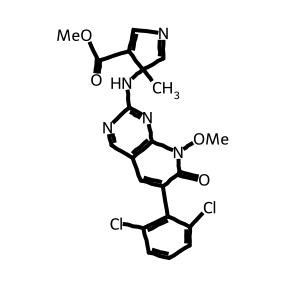 COC(=O)C1=CN=CC1(C)Nc1ncc2cc(-c3c(Cl)cccc3Cl)c(=O)n(OC)c2n1